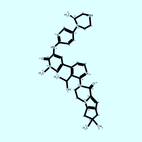 CC(O)c1c(-c2cc(Nc3ccc(N4CCNC[C@@H]4C)cn3)c(=O)n(C)c2)ccnc1N1CCn2c(cc3c2CC(C)(C)C3)C1=O